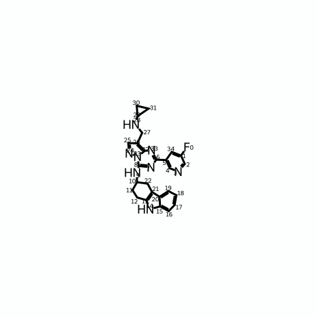 Fc1cncc(-c2nc(NC3CCc4[nH]c5ccccc5c4C3)n3ncc(CNC4CC4)c3n2)c1